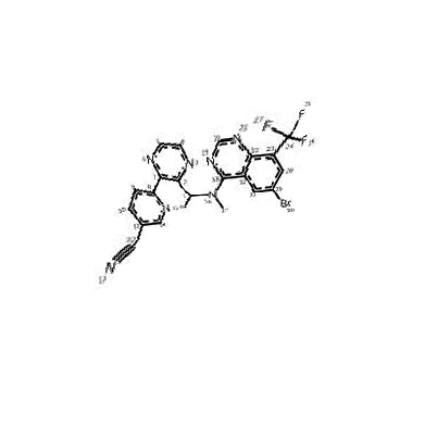 CC(c1nccnc1-c1ccc(C#N)cn1)N(C)c1ncnc2c(C(F)(F)F)cc(Br)cc12